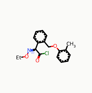 CCO/N=C(\C(=O)Cl)c1ccccc1COc1ccccc1C